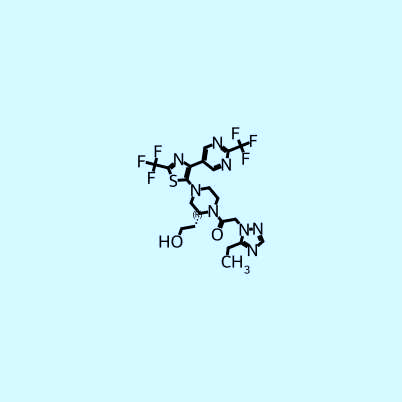 CCc1ncnn1CC(=O)N1CCN(c2sc(C(F)(F)F)nc2-c2cnc(C(F)(F)F)nc2)C[C@H]1CCO